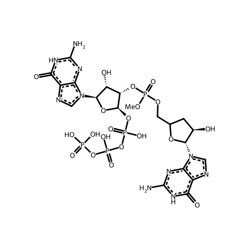 COP(=O)(OCC1C[C@@H](O)[C@H](n2cnc3c(=O)[nH]c(N)nc32)O1)O[C@@H]1[C@@H](OP(=O)(O)OP(=O)(O)OP(=O)(O)O)O[C@@H](n2cnc3c(=O)[nH]c(N)nc32)[C@@H]1O